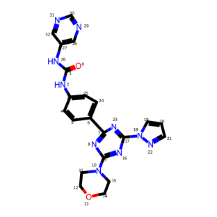 O=C(Nc1ccc(-c2nc(N3CCOCC3)nc(-n3cccn3)n2)cc1)Nc1cncnc1